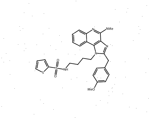 CNc1nc2ccccc2c2c1nc(Cc1ccc(OC)cc1)n2CCCCNS(=O)(=O)c1cccs1